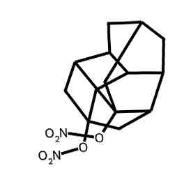 O=[N+]([O-])OC12CC3C4CC5CC3C(C1)C(O[N+](=O)[O-])(C5)C4C2